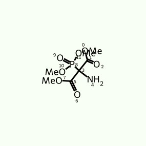 COC(=O)C(N)(C(=O)OC)P(=O)(OC)OC